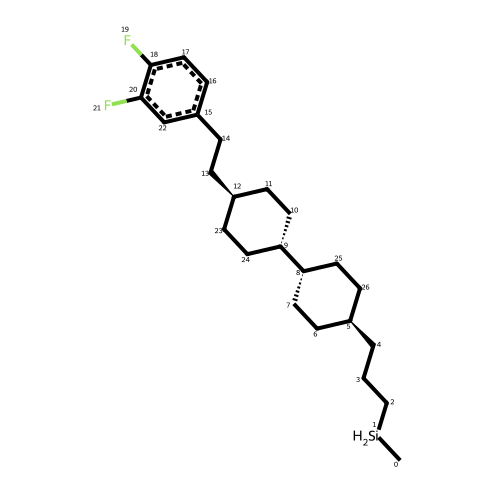 C[SiH2]CCC[C@H]1CC[C@H]([C@H]2CC[C@H](CCc3ccc(F)c(F)c3)CC2)CC1